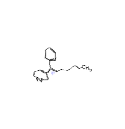 CCCCC/C=C(\c1ccccc1)c1cccnc1